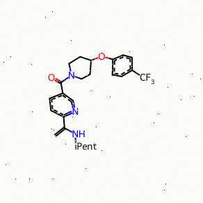 C=C(NC(C)CCC)c1ccc(C(=O)N2CCC(Oc3ccc(C(F)(F)F)cc3)CC2)cn1